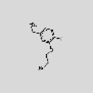 CC(C)(C)CCOc1cc(CC(C)(C)C)ccc1F